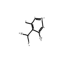 Cc1cncc(Cl)c1C(F)F